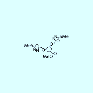 COC(=O)c1cc(OCc2nnc(SC)o2)cc(OCc2nnc(SC)o2)c1